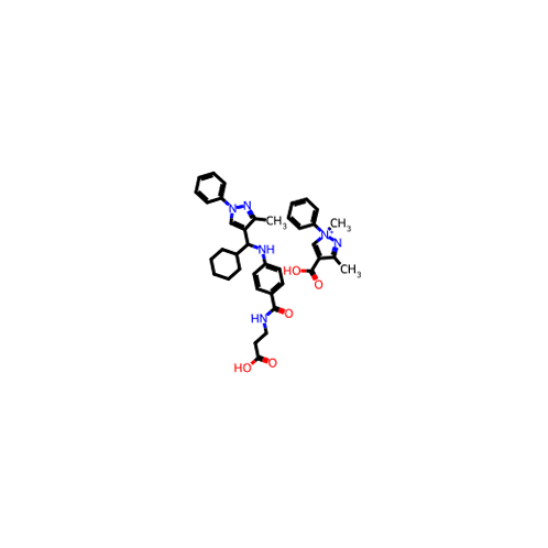 CC1=N[N+](C)(c2ccccc2)C=C1C(=O)O.Cc1nn(-c2ccccc2)cc1C(Nc1ccc(C(=O)NCCC(=O)O)cc1)C1CCCCC1